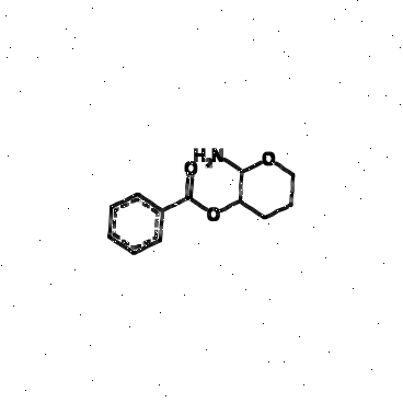 NC1OCCCC1OC(=O)c1ccccc1